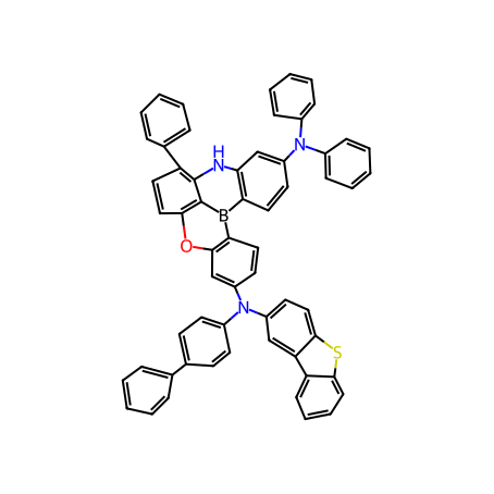 c1ccc(-c2ccc(N(c3ccc4c(c3)Oc3ccc(-c5ccccc5)c5c3B4c3ccc(N(c4ccccc4)c4ccccc4)cc3N5)c3ccc4sc5ccccc5c4c3)cc2)cc1